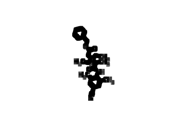 CC[PH](CC)(CC(=O)OCc1ccccc1)C(C)C(=O)Nc1c(C)cc(C#N)cc1C